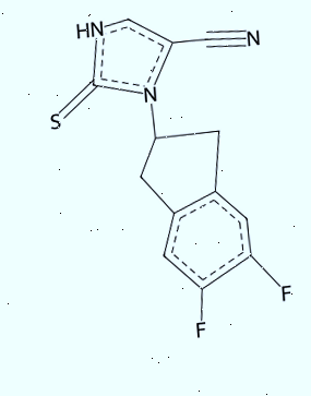 N#Cc1c[nH]c(=S)n1C1Cc2cc(F)c(F)cc2C1